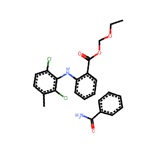 CCOCOC(=O)c1ccccc1Nc1c(Cl)ccc(C)c1Cl.NC(=O)c1ccccc1